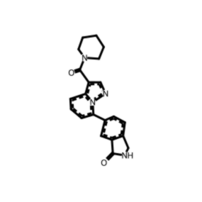 O=C1NCc2ccc(-c3cccc4c(C(=O)N5CCCCC5)cnn34)cc21